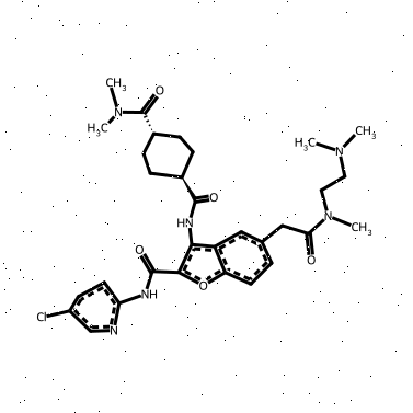 CN(C)CCN(C)C(=O)Cc1ccc2oc(C(=O)Nc3ccc(Cl)cn3)c(NC(=O)[C@H]3CC[C@H](C(=O)N(C)C)CC3)c2c1